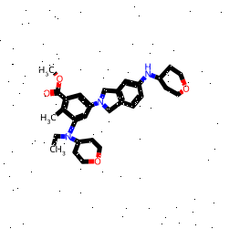 CCN(c1cc(N2Cc3ccc(NC4CCOCC4)cc3C2)cc(C(=O)OC)c1C)C1CCOCC1